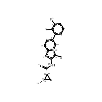 Cc1c(F)cccc1-c1ccc2nc(NC(=O)[C@@H]3C[C@@H]3F)c(C)n2c1